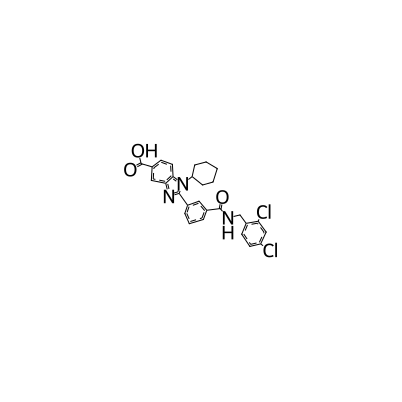 O=C(O)c1ccc2c(c1)nc(-c1cccc(C(=O)NCc3ccc(Cl)cc3Cl)c1)n2C1CCCCC1